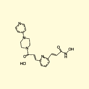 Cl.O=C(C=Cc1cccc(C=CC(=O)N2CCN(c3ccncc3)CC2)n1)NO